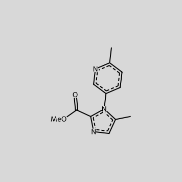 COC(=O)c1ncc(C)n1-c1ccc(C)nc1